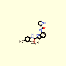 N#Cc1ccc(NC(=O)c2cc3cccc(NC(=O)[C@@H]4CCCN4)c3[nH]2)c(C(=O)O)c1